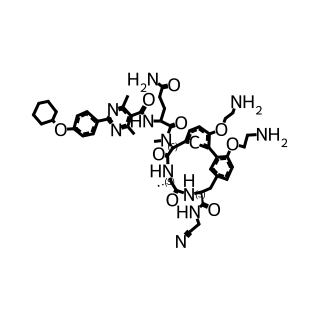 Cc1nc(-c2ccc(OC3CCCCC3)cc2)nc(C)c1C(=O)NC(CCC(N)=O)C(=O)N(C)[C@@H]1C(=O)N[C@@H](C)C(=O)N[C@H](C(=O)NCC#N)Cc2ccc(OCCN)c(c2)-c2cc1ccc2OCCN